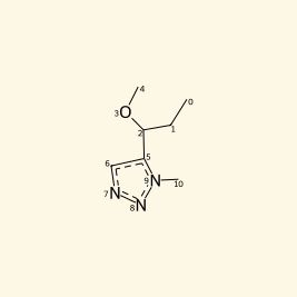 CCC(OC)c1cnnn1C